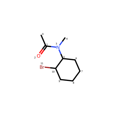 CC(=O)N(C)C1CCCCC1Br